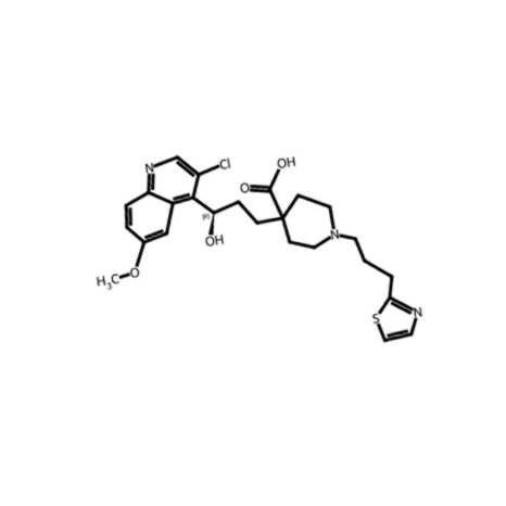 COc1ccc2ncc(Cl)c([C@H](O)CCC3(C(=O)O)CCN(CCCc4nccs4)CC3)c2c1